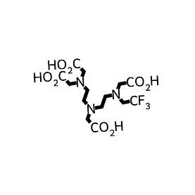 O=C(O)CN(CCN(CC(=O)O)CC(=O)O)CCN(CC(=O)O)CC(F)(F)F